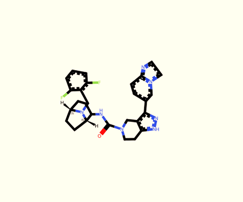 O=C(NC1CC[C@H]2CC[C@@H]1N2Cc1c(F)cccc1F)N1CCc2[nH]nc(-c3ccc4nccn4c3)c2C1